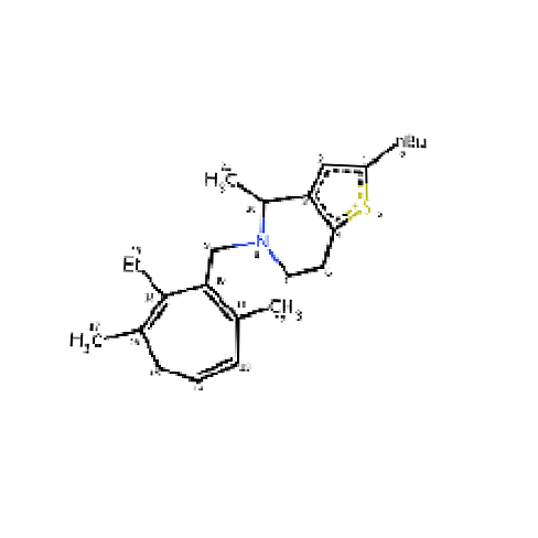 CCCCc1cc2c(s1)CCN(CC1=C(C)C=CCC(C)=C1CC)C2C